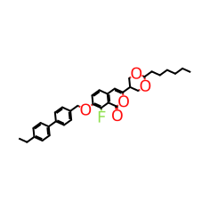 CCCCCCC1OCC(c2cc3ccc(OCc4ccc(-c5ccc(CC)cc5)cc4)c(F)c3c(=O)o2)CO1